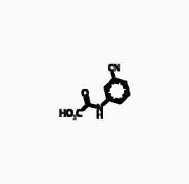 N#Cc1cccc(NC(=O)C(=O)O)c1